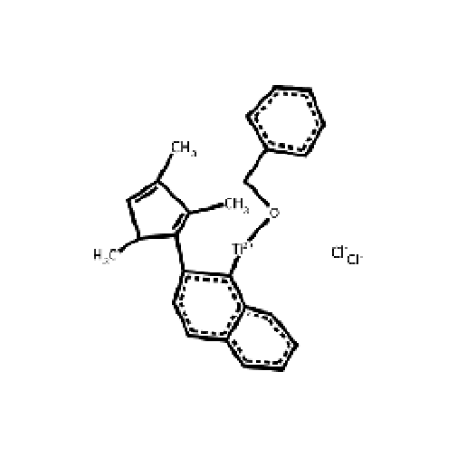 CC1=CC(C)C(c2ccc3ccccc3[c]2[Ti+2][O]Cc2ccccc2)=C1C.[Cl-].[Cl-]